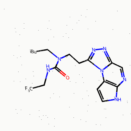 CCC(C)CN(CCc1nnc2cnc3[nH]ccc3n12)C(=O)NCC(F)(F)F